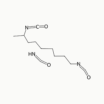 CC(CCCCCCCN=C=O)N=C=O.N=C=O